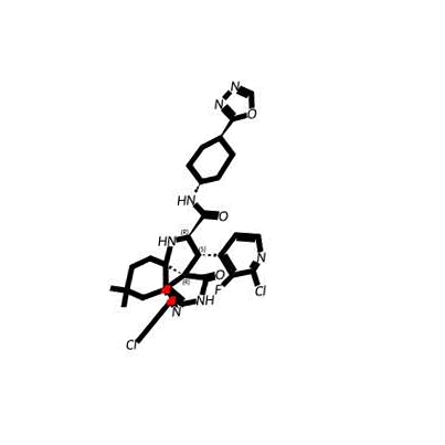 CC1(C)CCC2(CC1)N[C@@H](C(=O)N[C@H]1CC[C@H](c3nnco3)CC1)[C@H](c1ccnc(Cl)c1F)[C@]21C(=O)Nc2nc(Cl)ccc21